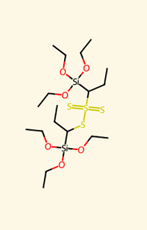 CCO[Si](OCC)(OCC)C(CC)SS(=S)(=S)C(CC)[Si](OCC)(OCC)OCC